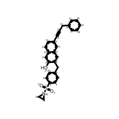 O=S(=O)(c1ccc(Cc2cc3cc(C#CCc4ccccc4)ccc3cc2O)cc1)N1CC1